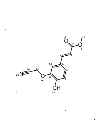 COC(=O)C=Cc1ccc(O)c(OCC#N)c1